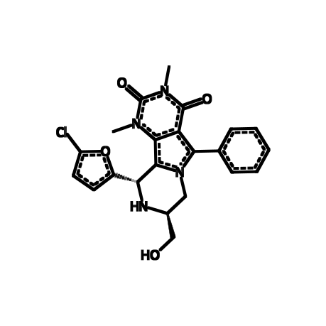 Cn1c(=O)c2c(-c3ccccc3)n3c(c2n(C)c1=O)[C@@H](c1ccc(Cl)o1)N[C@H](CO)C3